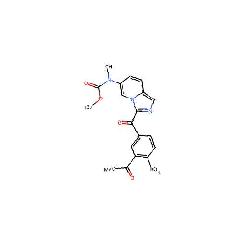 COC(=O)c1cc(C(=O)c2ncc3ccc(N(C)C(=O)OC(C)(C)C)cn23)ccc1[N+](=O)[O-]